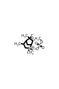 CC1C[N+](C)(C)C2CC1C(C)(C)C2.COS(=O)(=O)[O-]